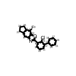 Fc1c2c(cc3nc(-c4cccc(-c5ccccc5)c4Cl)oc13)CCC2